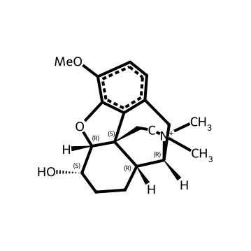 COc1ccc2c3c1O[C@H]1[C@@H](O)CC[C@H]4[C@@H](C2)[N+](C)(C)CC[C@@]341